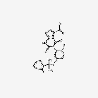 CC(C)(Sc1ccc(F)c(-n2c(=O)[nH]c3csc(C(=O)O)c3c2=O)c1)c1ccccc1F